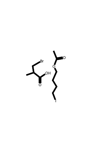 CC(=O)OCCCCI.CC(CBr)C(=O)O